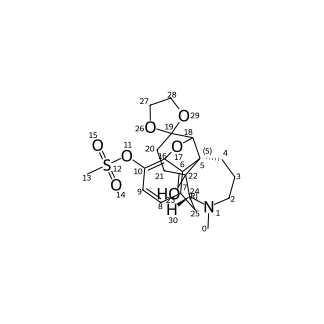 CN1CCC[C@]23c4c5ccc(OS(C)(=O)=O)c4OC2C2(CCC3(O)[C@H]1C5)OCCO2